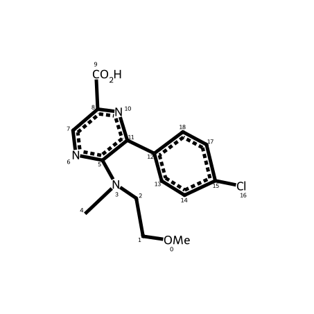 COCCN(C)c1ncc(C(=O)O)nc1-c1ccc(Cl)cc1